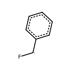 F[C]c1ccccc1